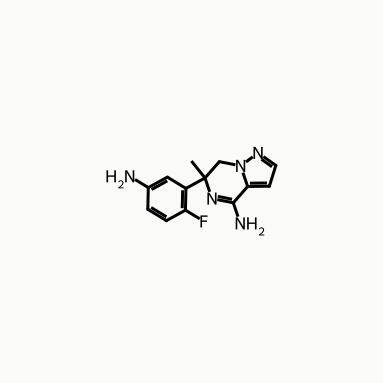 CC1(c2cc(N)ccc2F)Cn2nccc2C(N)=N1